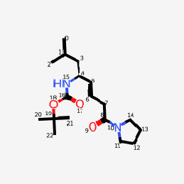 CC(C)C[C@@H](/C=C/CC(=O)N1CCCC1)NC(=O)OC(C)(C)C